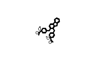 COC1(C2CO2)C=CC(Cc2ccc3c(c2CC2=CCC(OC)(C4CO4)C=C2)Cc2ccccc2-3)=CC1